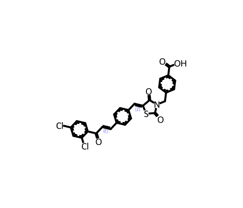 O=C(O)c1ccc(CN2C(=O)S/C(=C\c3ccc(/C=C/C(=O)c4ccc(Cl)cc4Cl)cc3)C2=O)cc1